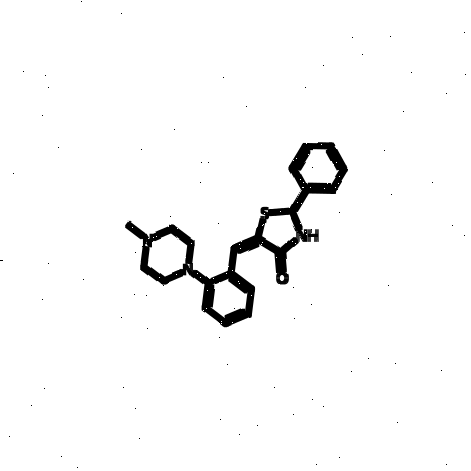 CN1CCN(c2ccccc2/C=C2/SC(c3ccccc3)NC2=O)CC1